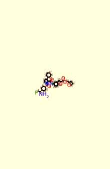 NC(CF)[C@H]1CC[C@H](C(=O)N2CC[C@@H](C3CCCCC3)[C@H]2C(=O)Nc2ccc3oc(C(=O)OCC4CCCO4)cc3c2)CC1